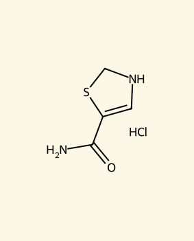 Cl.NC(=O)C1=CNCS1